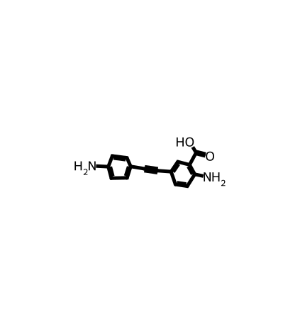 Nc1ccc(C#Cc2ccc(N)c(C(=O)O)c2)cc1